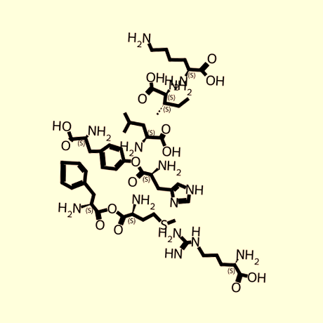 CC(C)C[C@H](N)C(=O)O.CC[C@H](C)[C@H](N)C(=O)O.CSCC[C@H](N)C(=O)OC(=O)[C@@H](N)Cc1ccccc1.N=C(N)NCCC[C@H](N)C(=O)O.NCCCC[C@H](N)C(=O)O.N[C@@H](Cc1ccc(OC(=O)[C@@H](N)Cc2c[nH]cn2)cc1)C(=O)O